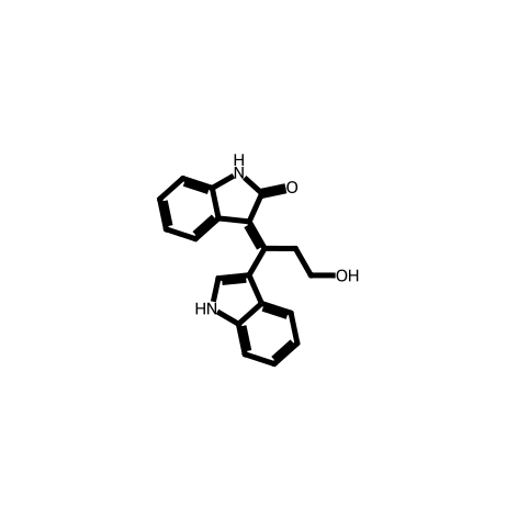 O=C1Nc2ccccc2C1=C(CCO)c1c[nH]c2ccccc12